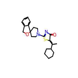 C/C(=C1/SC(N2CCC3(CC2)OCc2ccccc23)=NC1=O)C1CCCCC1